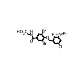 CCNc1cc(Cl)cc(COc2c(Br)cc(C(=O)NCC(=O)O)cc2Br)c1F